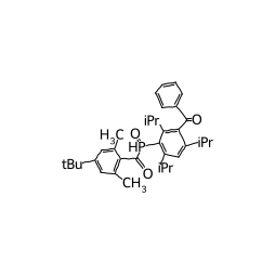 Cc1cc(C(C)(C)C)cc(C)c1C(=O)[PH](=O)c1c(C(C)C)cc(C(C)C)c(C(=O)c2ccccc2)c1C(C)C